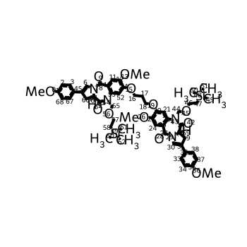 COc1ccc(C2=CN3C(=O)c4cc(OC)c(OCCCOc5cc6c(cc5OC)C(=O)N5C=C(c7ccc(OC)cc7)C[C@H]5C(=O)N6COCC[Si](C)(C)C)cc4N(COCC[Si](C)(C)C)C(=O)[C@@H]3C2)cc1